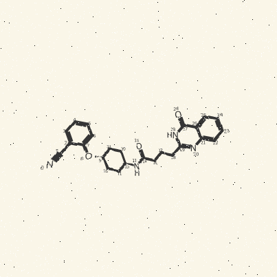 N#Cc1ccccc1O[C@H]1CC[C@H](NC(=O)CCCc2nc3ccccc3c(=O)[nH]2)CC1